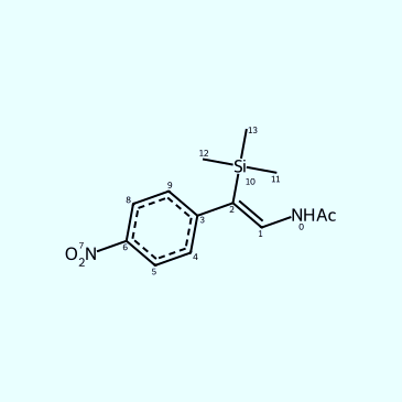 CC(=O)NC=C(c1ccc([N+](=O)[O-])cc1)[Si](C)(C)C